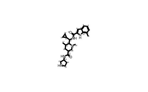 Cc1cccc2cc(C(=O)NC(C3CC3)C3C(C)CC(C(=O)NC4CCNC4)CN3C)[nH]c12